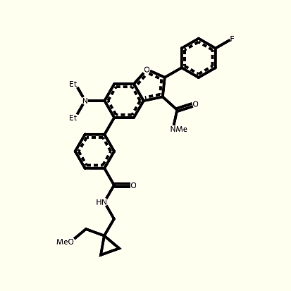 CCN(CC)c1cc2oc(-c3ccc(F)cc3)c(C(=O)NC)c2cc1-c1cccc(C(=O)NCC2(COC)CC2)c1